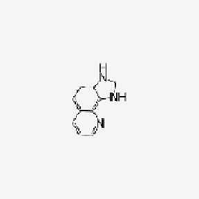 C1=c2cccnc2=C2NCNC2C1